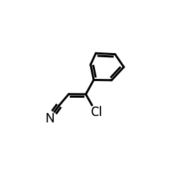 N#C/C=C(\Cl)c1ccccc1